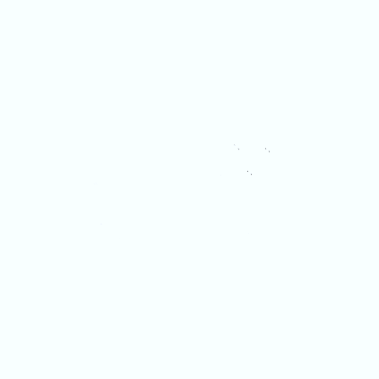 c1ccc(-c2cc(-c3ccccc3)c3oc4c(-c5nc(-c6ccccc6)nc(-c6ccccc6)n5)ccc(-c5ccc(-c6cccc7c6oc6ccccc67)cc5)c4c3c2)cc1